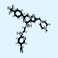 CN1CCN(Cc2cc3c(NCCNc4ccc(C#N)cn4)nc(-c4ccc(C(F)(F)F)cc4)cn3n2)CC1